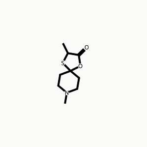 CC1SC2(CCN(C)CC2)OC1=O